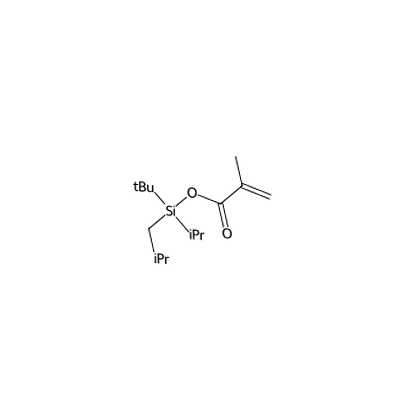 C=C(C)C(=O)O[Si](CC(C)C)(C(C)C)C(C)(C)C